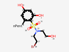 CCCCCc1cc(O)cc(O)c1S(=O)(=O)N(CCO)CCBr